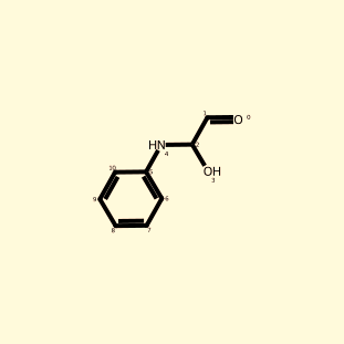 O=CC(O)Nc1ccccc1